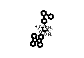 C=CC1=C(C(=C)N(C)c2ccc(C3C=CC=CC3c3ccccc3)cc2)Oc2cc3c(cc2O1)C1=C(C=CCC1)C31c2ccccc2-c2ccccc21